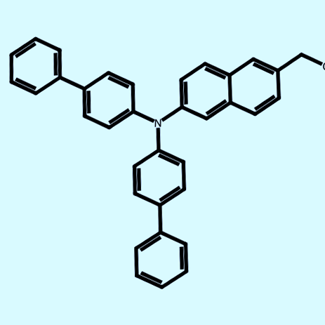 ClCc1ccc2cc(N(c3ccc(-c4ccccc4)cc3)c3ccc(-c4ccccc4)cc3)ccc2c1